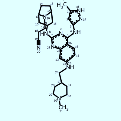 Cc1cc(Nc2nc(NC3CC4CCC(C3)N4CCC#N)nc3cc(NCC4CCN(C)CC4)ccc23)n[nH]1